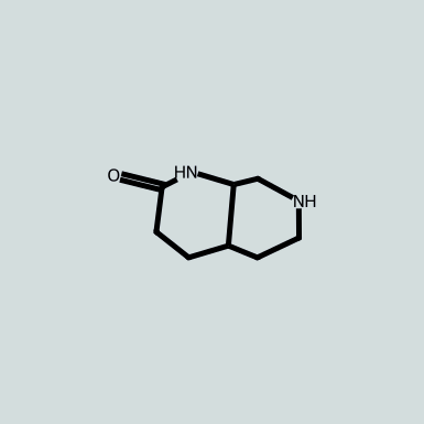 O=C1CCC2CCNCC2N1